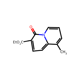 CCOC(=O)c1ccc2c(C)cccn2c1=O